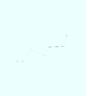 BCCCCF